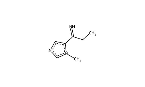 CCC(=N)c1cncn1C